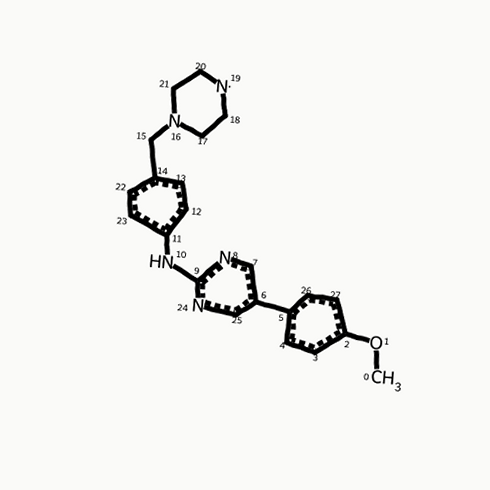 COc1ccc(-c2cnc(Nc3ccc(CN4CC[N]CC4)cc3)nc2)cc1